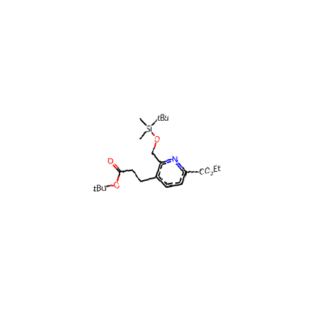 CCOC(=O)c1ccc(CCC(=O)OC(C)(C)C)c(CO[Si](C)(C)C(C)(C)C)n1